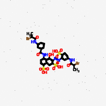 C=C(Br)C(=O)Nc1cccc(C(=O)Nc2ccc(S(=O)(=O)O)c3cc(S(=O)(=O)O)c(/N=N/c4cc(NC(=O)C(C)Br)ccc4S(=O)(=O)O)c(O)c23)c1